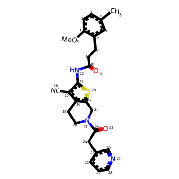 COc1ccc(C)cc1CCC(=O)Nc1sc2c(c1C#N)CCN(C(=O)Cc1cccnc1)C2